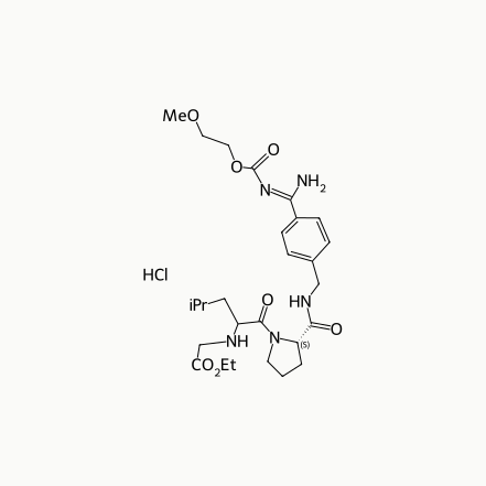 CCOC(=O)CNC(CC(C)C)C(=O)N1CCC[C@H]1C(=O)NCc1ccc(C(N)=NC(=O)OCCOC)cc1.Cl